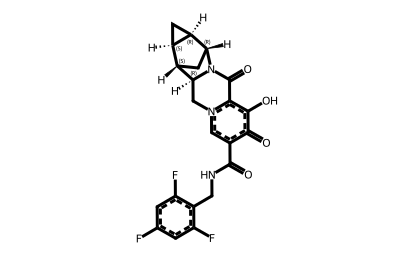 O=C(NCc1c(F)cc(F)cc1F)c1cn2c(c(O)c1=O)C(=O)N1[C@@H]3C[C@@H]([C@H]4C[C@H]43)[C@@H]1C2